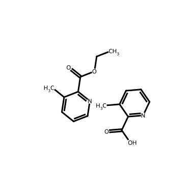 CCOC(=O)c1ncccc1C.Cc1cccnc1C(=O)O